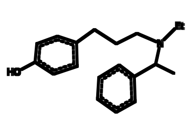 CCN(CCCc1ccc(O)cc1)C(C)c1ccccc1